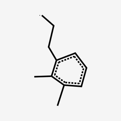 [CH2]CCc1cccc(C)c1C